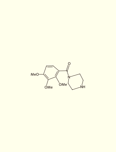 COc1ccc(C(=O)N2CCNCC2)c(OC)c1OC